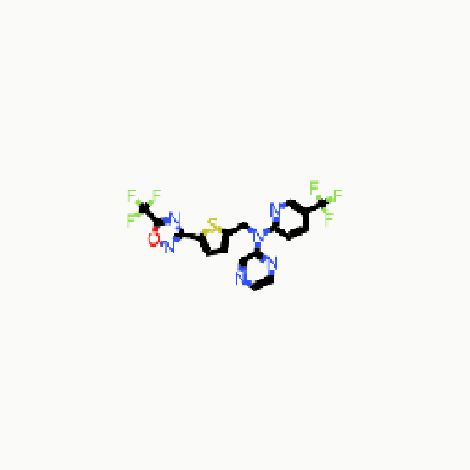 FC(F)(F)c1ccc(N(Cc2ccc(-c3noc(C(F)(F)F)n3)s2)c2cnccn2)nc1